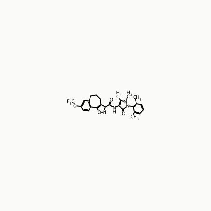 Cc1cccc(C)c1-n1c(=O)c(NC(=O)c2noc3c2CCCc2cc(OC(F)(F)F)ccc2-3)c(C)n1C